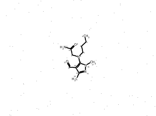 CCCCN(CC(N)=O)c1c(C=O)c(C)nn1C